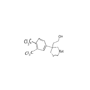 OCCC1(c2ccc(C(Cl)(Cl)Cl)c(C(Cl)(Cl)Cl)c2)CCCNC1